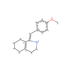 COc1ccc(C=C2[N]CCC3=C2CCCC3)cc1